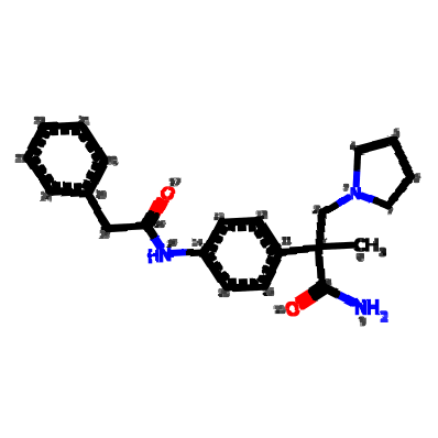 CC(CN1CCCC1)(C(N)=O)c1ccc(NC(=O)[CH]c2ccccc2)cc1